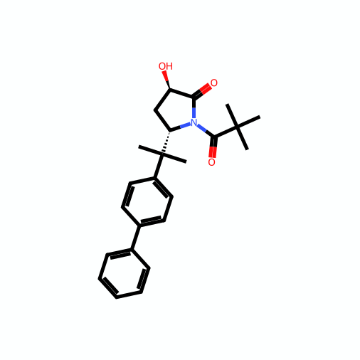 CC(C)(C)C(=O)N1C(=O)[C@H](O)C[C@H]1C(C)(C)c1ccc(-c2ccccc2)cc1